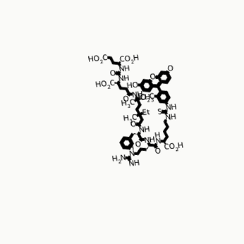 CCC(C)(CCC(C)(C)NC(=O)CC[C@H](NC(=O)N[C@@H](CCC(=O)O)C(=O)O)C(=O)O)CC(=O)N[C@@H](Cc1ccccc1)C(=O)N[C@@H](CCCNC(=N)N)C(=O)N[C@@H](CCCCNC(=S)Nc1ccc(-c2c3ccc(=O)cc-3oc3cc(O)ccc23)c(C(=O)O)c1)C(=O)O